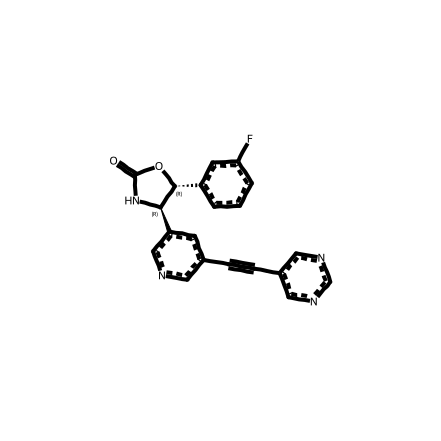 O=C1N[C@H](c2cncc(C#Cc3cncnc3)c2)[C@@H](c2cccc(F)c2)O1